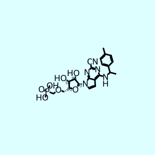 Cc1ccc(C(C)Nc2nc(C#N)nc3c2ccn3[C@@H]2O[C@H](COCP(=O)(O)O)[C@@H](O)[C@H]2O)cc1